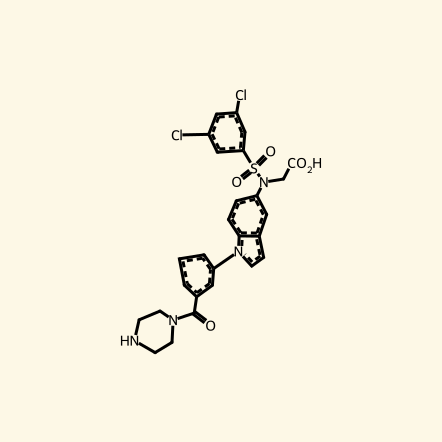 O=C(O)CN(c1ccc2c(ccn2-c2cccc(C(=O)N3CCNCC3)c2)c1)S(=O)(=O)c1cc(Cl)cc(Cl)c1